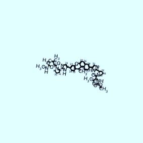 CNC(=O)O[C@H](C(=O)N1CCC[C@H]1c1ncc(-c2ccc3c(c2)Oc2ccc4cc(-c5cnc(C6CCCN6C(=O)C(NC(=O)OC)C(C)C)[nH]5)ccc4c2C3C)[nH]1)C(C)C